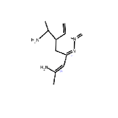 C=CC(CC(/C=C(/C)N)=N\[N+](=C)C)C(C)N